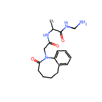 CCC(NC(=O)CN1C(=O)CCCCc2ccccc21)C(=O)NCN